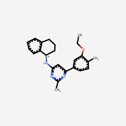 Cc1nc(N[C@@H]2CCCc3ccccc32)cc(-c2ccc(C)c(OCC#N)c2)n1